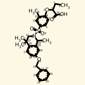 CCC(Oc1ccc(S(=O)(=O)N2CC(C)(C)c3ccc(OCc4ccccc4)cc3C2C)cc1C)C(=O)O